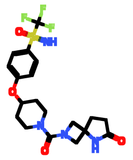 N=S(=O)(c1ccc(OC2CCN(C(=O)N3CC4(CCC(=O)N4)C3)CC2)cc1)C(F)(F)F